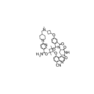 CN(CC1CCN(c2ccc(C(N)=O)c([C@H]3C(C)(C)[C@H](Oc4ccc(C#N)c5ncccc45)C3(C)C)n2)CC1)[C@H]1C[C@H](Oc2ccc3c(c2)C(=O)N(C2CCC(=O)NC2=O)C3=O)C1